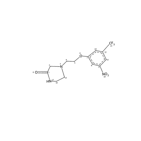 O=C1CN(CCOc2cc([N+](=O)[O-])cc(C(F)(F)F)c2)CCN1